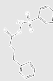 O=C(CCCc1ccccc1)ONS(=O)(=O)c1ccccc1